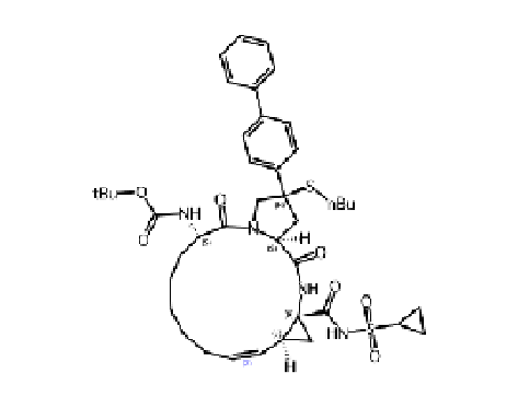 CCCCS[C@@]1(c2ccc(-c3ccccc3)cc2)C[C@H]2C(=O)N[C@]3(C(=O)NS(=O)(=O)C4CC4)C[C@H]3/C=C\CCCCC[C@H](NC(=O)OC(C)(C)C)C(=O)N2C1